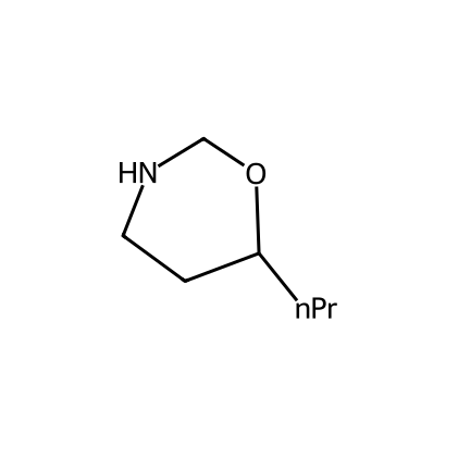 CCCC1CCNCO1